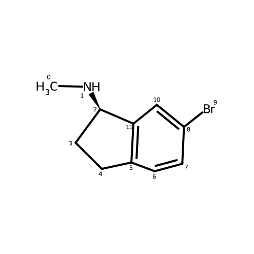 CN[C@@H]1CCc2ccc(Br)cc21